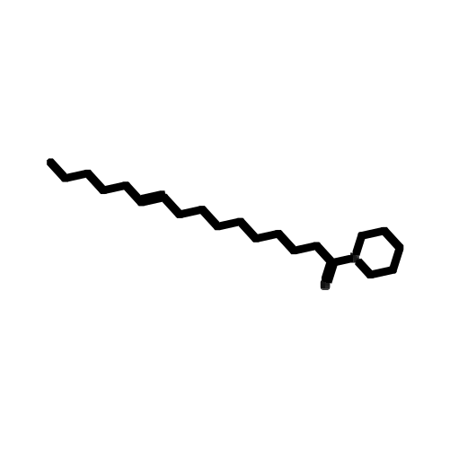 CCCCCC=CCCCCCCCCC(=O)N1CCCCC1